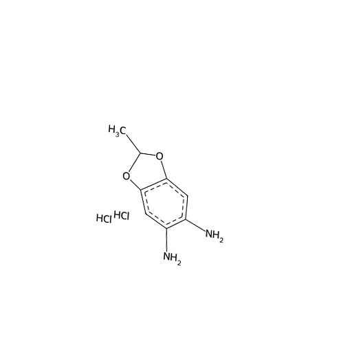 CC1Oc2cc(N)c(N)cc2O1.Cl.Cl